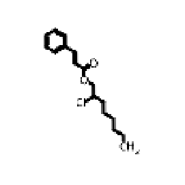 CCCCCCC(Cl)COC(=O)/C=C/c1ccccc1